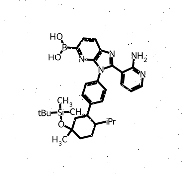 CC(C)C1CCC(C)(O[Si](C)(C)C(C)(C)C)CC1c1ccc(-n2c(-c3cccnc3N)nc3ccc(B(O)O)nc32)cc1